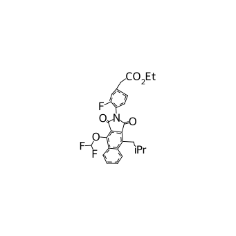 CCOC(=O)Cc1ccc(N2C(=O)c3c(c(OC(F)F)c4ccccc4c3CC(C)C)C2=O)c(F)c1